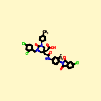 Cc1ccc(N2CC(CC(=O)O)(CC(=O)Nc3ccc(N4C(=O)c5ccc(Cl)cc5C4=O)c(C)c3)CN(Cc3ccc(Cl)cc3Cl)C2=O)cc1